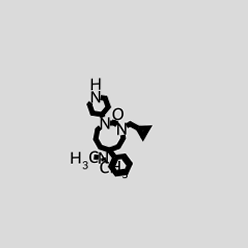 CN(C)[C@@]1(c2ccccc2)CCCN(C2CCNCC2)C(=O)N(CC2CC2)CC1